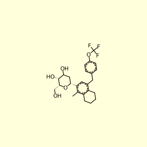 Cc1c([C@H]2CC(O)[C@@H](O)[C@@H](CO)O2)cc(Cc2ccc(OC(F)(F)F)cc2)c2c1CCCC2